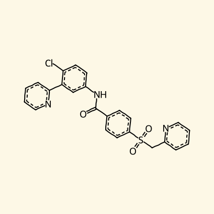 O=C(Nc1ccc(Cl)c(-c2ccccn2)c1)c1ccc(S(=O)(=O)Cc2ccccn2)cc1